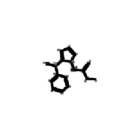 COC(=O)Nn1ccnc1[S+]([O-])c1ccccc1